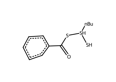 CCCC[SH](S)SC(=O)c1ccccc1